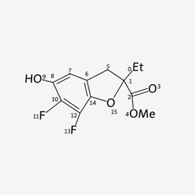 CCC1(C(=O)OC)Cc2cc(O)c(F)c(F)c2O1